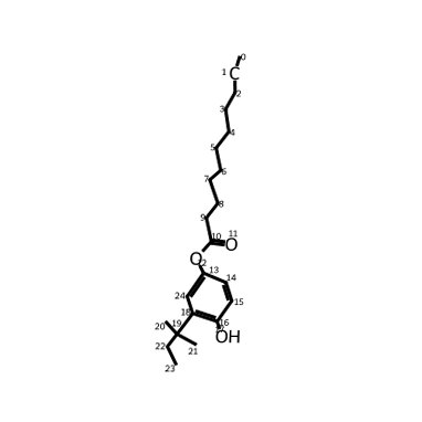 CCCCCCCCCCC(=O)Oc1ccc(O)c(C(C)(C)CC)c1